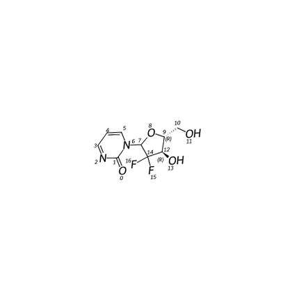 O=c1ncccn1C1O[C@H](CO)[C@@H](O)C1(F)F